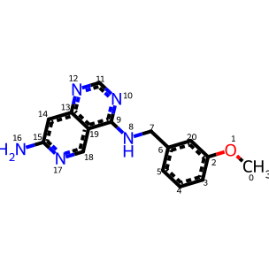 COc1cccc(CNc2ncnc3cc(N)ncc23)c1